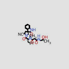 CC(C)C[C@@H](C(=O)N1C[C@]2(C[C@H]1C#N)C(=O)Nc1ccccc12)N(C)C(=O)CC(=O)NC[C@@H](C)O